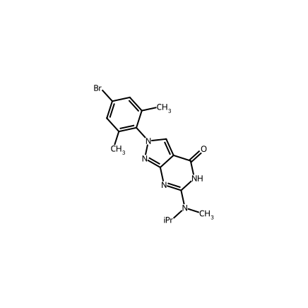 Cc1cc(Br)cc(C)c1-n1cc2c(=O)[nH]c(N(C)C(C)C)nc2n1